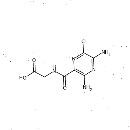 Nc1nc(N)c(C(=O)NCC(=O)O)nc1Cl